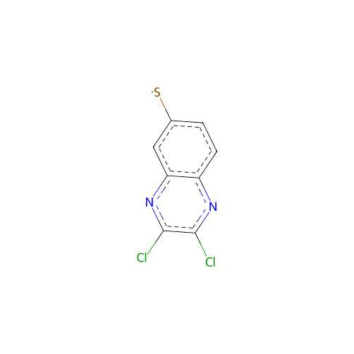 [S]c1ccc2nc(Cl)c(Cl)nc2c1